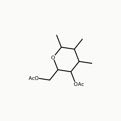 CC(=O)OCC1OC(C)C(C)C(C)C1OC(C)=O